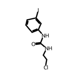 O=C(NCCCl)Nc1cccc(I)c1